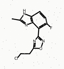 Cc1nc2c(-c3noc(CCCl)n3)c(F)ccc2[nH]1